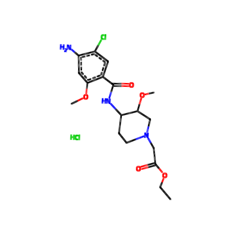 CCOC(=O)CN1CCC(NC(=O)c2cc(Cl)c(N)cc2OC)C(OC)C1.Cl